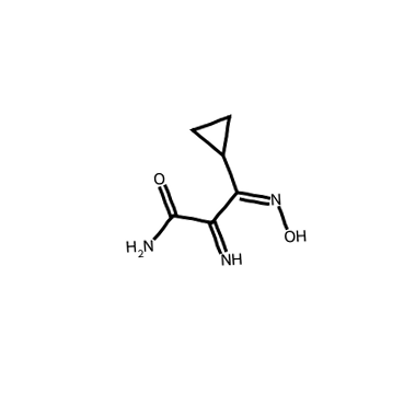 N=C(C(N)=O)/C(=N\O)C1CC1